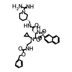 N=C(N)N1CCC[C@@H](CNC(=O)C[C@H](NS(=O)(=O)c2ccc3ccccc3c2)C(=O)N(CCNC(=O)OCc2ccccc2)C2CC2)C1